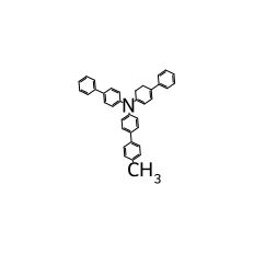 Cc1ccc(-c2ccc(N(C3=CC=C(c4ccccc4)CC3)c3ccc(-c4ccccc4)cc3)cc2)cc1